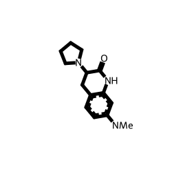 CNc1ccc2c(c1)NC(=O)C(N1CCCC1)C2